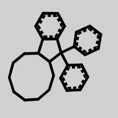 c1ccc(C2(c3ccccc3)c3ccccc3C3CCCCCCCCC32)cc1